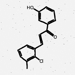 Cc1cccc(/C=C/C(=O)c2cccc(O)c2)c1Cl